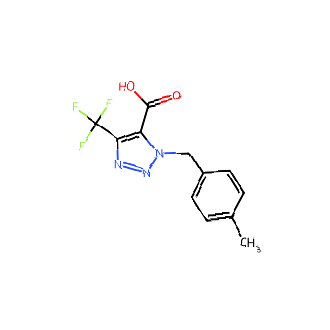 Cc1ccc(Cn2nnc(C(F)(F)F)c2C(=O)O)cc1